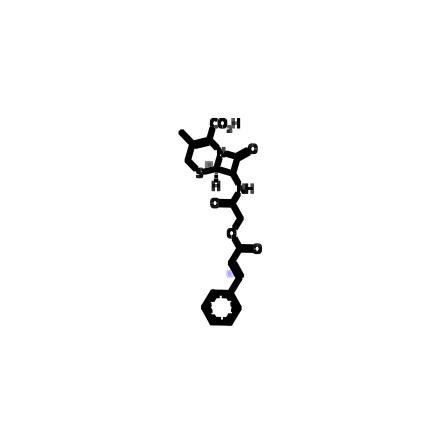 CC1=C(C(=O)O)N2C(=O)C(NC(=O)COC(=O)/C=C/c3ccccc3)[C@H]2SC1